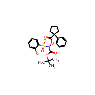 CC(C)(C)OC(=O)N(OC(=O)C1(c2ccccc2)CCCC1)S(=O)(=O)c1ccccc1Br